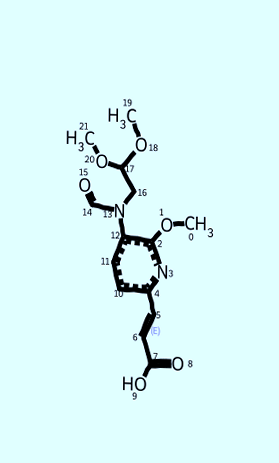 COc1nc(/C=C/C(=O)O)ccc1N(C=O)CC(OC)OC